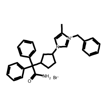 Cc1cn(C2CCC(C(C(N)=O)(c3ccccc3)c3ccccc3)C2)c[n+]1Cc1ccccc1.[Br-]